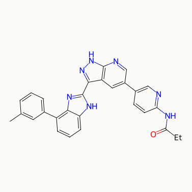 CCC(=O)Nc1ccc(-c2cnc3[nH]nc(-c4nc5c(-c6cccc(C)c6)cccc5[nH]4)c3c2)cn1